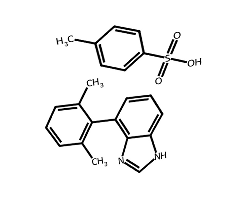 Cc1ccc(S(=O)(=O)O)cc1.Cc1cccc(C)c1-c1cccc2[nH]cnc12